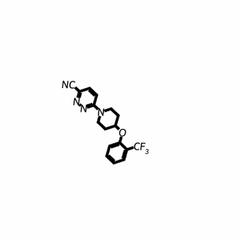 N#Cc1ccc(N2CCC(Oc3ccccc3C(F)(F)F)CC2)nn1